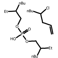 C=CCC(Cl)CCCC.CCCCC(CC)COP(=O)(O)OCC(CC)CCCC